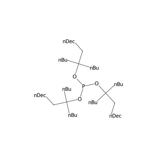 CCCCCCCCCCCC(CCCC)(CCCC)OP(OC(CCCC)(CCCC)CCCCCCCCCCC)OC(CCCC)(CCCC)CCCCCCCCCCC